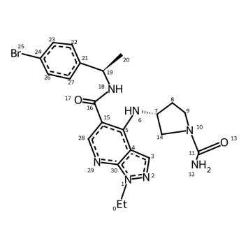 CCn1ncc2c(N[C@@H]3CCN(C(N)=O)C3)c(C(=O)N[C@H](C)c3ccc(Br)cc3)cnc21